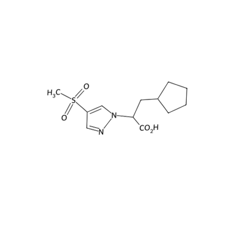 CS(=O)(=O)c1cnn(C(CC2CCCC2)C(=O)O)c1